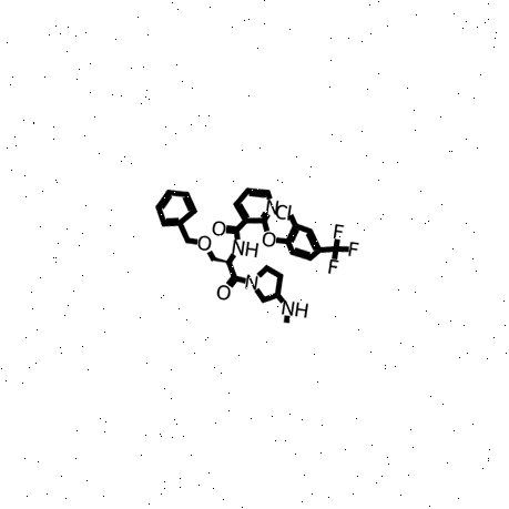 CNC1CCN(C(=O)[C@@H](COCc2ccccc2)NC(=O)c2cccnc2Oc2ccc(C(F)(F)F)cc2Cl)C1